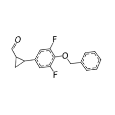 O=CC1CC1c1cc(F)c(OCc2ccccc2)c(F)c1